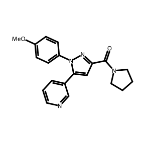 COc1ccc(-n2nc(C(=O)N3CCCC3)cc2-c2cccnc2)cc1